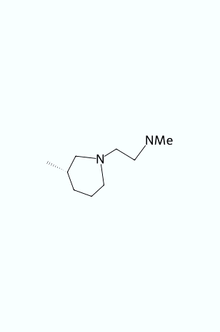 CNCCN1CCC[C@H](C)C1